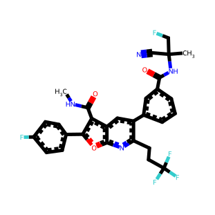 CNC(=O)c1c(-c2ccc(F)cc2)oc2nc(CCC(F)(F)F)c(-c3cccc(C(=O)NC(C)(C#N)CF)c3)cc12